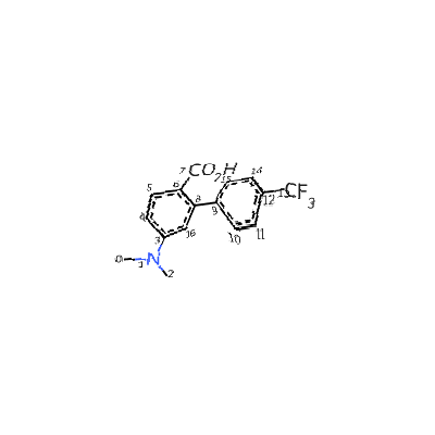 CN(C)c1ccc(C(=O)O)c(-c2ccc(C(F)(F)F)cc2)c1